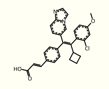 COc1ccc(C(=C(c2ccc(C=CC(=O)O)cc2)c2ccc3nccn3c2)C2CCC2)c(Cl)c1